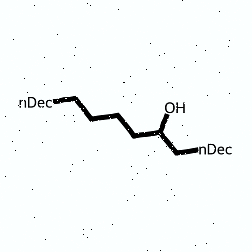 CCCCCCCCCCCCCCC(O)CCCCCCCCCCC